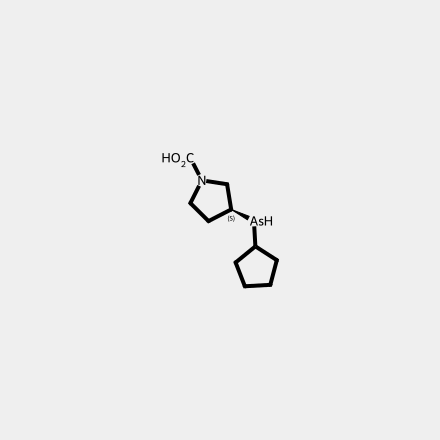 O=C(O)N1CC[C@H]([AsH]C2CCCC2)C1